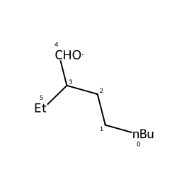 CCCCCCC([C]=O)CC